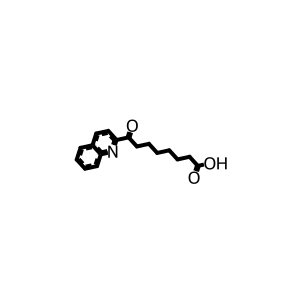 O=C(O)CCCCCCC(=O)c1ccc2ccccc2n1